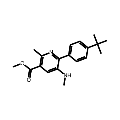 CNc1cc(C(=O)OC)c(C)nc1-c1ccc(C(C)(C)C)cc1